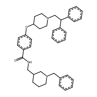 O=C(NCC1CCCN(Cc2ccccc2)C1)c1ccc(OC2CCN(CC(c3ccccc3)c3ccccc3)CC2)cc1